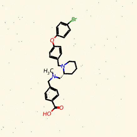 CN(Cc1ccc(C(=O)O)cc1)C[C@H]1CCCCN1Cc1ccc(Oc2ccc(Br)cc2)cc1